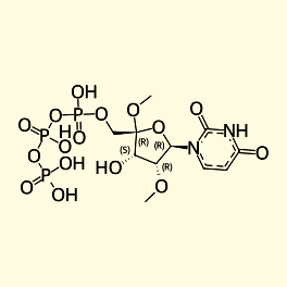 CO[C@H]1[C@H](n2ccc(=O)[nH]c2=O)O[C@@](COP(=O)(O)OP(=O)(O)OP(=O)(O)O)(OC)[C@H]1O